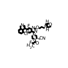 C=C(F)C(=O)N1CCN(c2nc(OCCCN3C[C@@H]4C[C@H]3CO4)nc3c(F)c(-c4cncc5cccc(Cl)c45)ncc23)C[C@@H]1CC#N